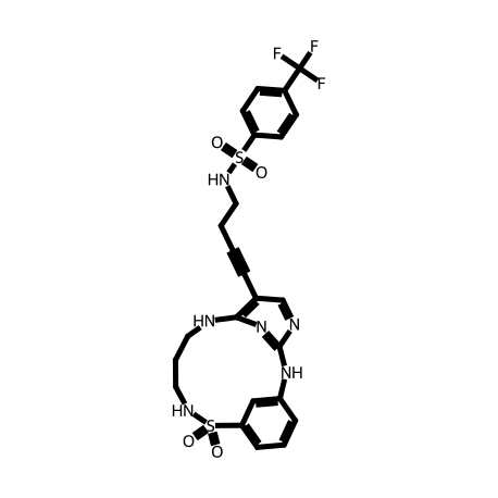 O=S(=O)(NCCC#Cc1cnc2nc1NCCCNS(=O)(=O)c1cccc(c1)N2)c1ccc(C(F)(F)F)cc1